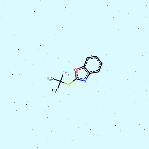 CC(C)(C)Sc1nc2ccccc2o1